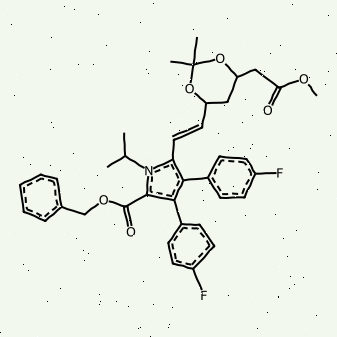 COC(=O)CC1CC(C=Cc2c(-c3ccc(F)cc3)c(-c3ccc(F)cc3)c(C(=O)OCc3ccccc3)n2C(C)C)OC(C)(C)O1